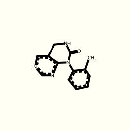 Cc1ccccc1N1C(=O)NCc2cncnc21